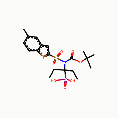 CCC(CC)(N(C(=O)OC(C)(C)C)S(=O)(=O)c1cc2cc(C)ccc2s1)P(=O)(O)O